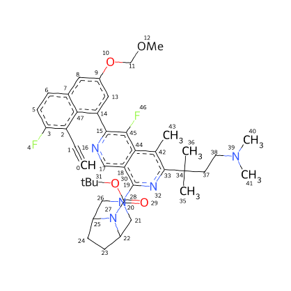 C#Cc1c(F)ccc2cc(OCOC)cc(-c3ncc4c(N5CC6CCC(C5)N6C(=O)OC(C)(C)C)nc(C(C)(C)CCN(C)C)c(C)c4c3F)c12